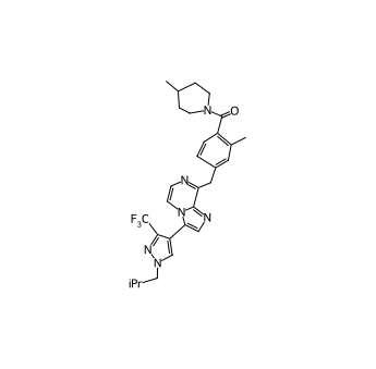 Cc1cc(Cc2nccn3c(-c4cn(CC(C)C)nc4C(F)(F)F)cnc23)ccc1C(=O)N1CCC(C)CC1